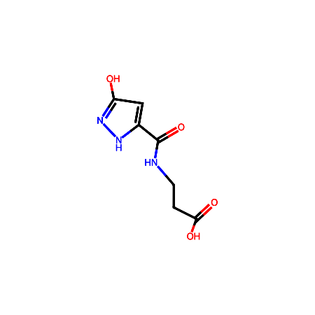 O=C(O)CCNC(=O)c1cc(O)n[nH]1